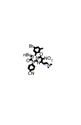 CCCCOC(=O)N(c1ccc(C#N)cc1)c1nc(/C=C/N(C)C)c([N+](=O)[O-])c(Oc2c(C)cc(Br)cc2C)n1